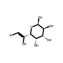 CCC=C(O)[C@@H]1O[C@@H](O)[C@@H](O)[C@H](O)[C@@H]1O